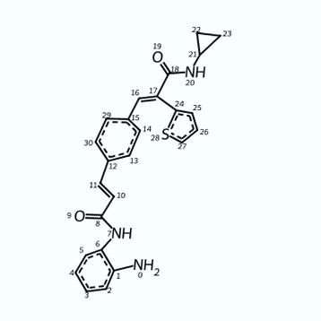 Nc1ccccc1NC(=O)C=Cc1ccc(C=C(C(=O)NC2CC2)c2cccs2)cc1